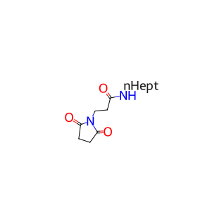 CCCCCCCNC(=O)CCN1C(=O)CCC1=O